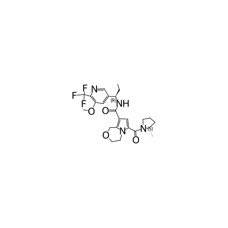 CC[C@@H](NC(=O)c1cc(C(=O)N2CCC[C@@H]2C)n2c1COCC2)c1cnc(C(F)(F)F)c(OC)c1